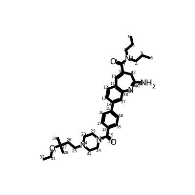 CCCN(CCC)C(=O)C1=Cc2ccc(-c3ccc(C(=O)N4CCN(CCC(C)(C)OCC)CC4)cc3)cc2N=C(N)C1